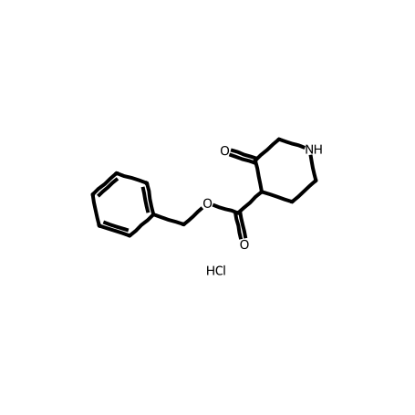 Cl.O=C1CNCCC1C(=O)OCc1ccccc1